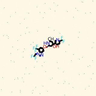 C[C@H]1C[C@@](O)(c2ccc(C(F)F)nc2)C[C@@H](COc2cc(C(F)(F)F)c3c(c2)ncn3CC(F)F)N1